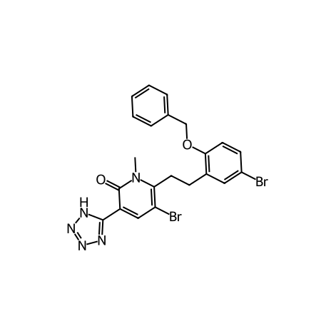 Cn1c(CCc2cc(Br)ccc2OCc2ccccc2)c(Br)cc(-c2nnn[nH]2)c1=O